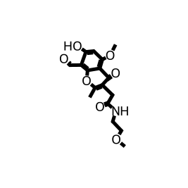 COCCNC(=O)Cc1c(C)oc2c(C=O)c(O)cc(OC)c2c1=O